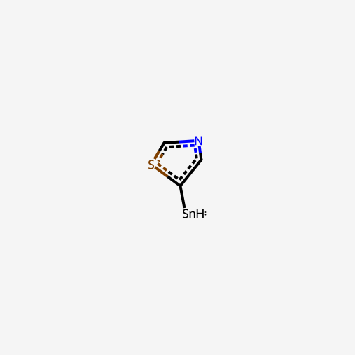 [SnH][c]1cncs1